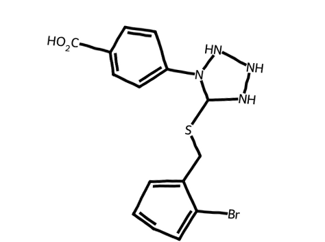 O=C(O)c1ccc(N2NNNC2SCc2ccccc2Br)cc1